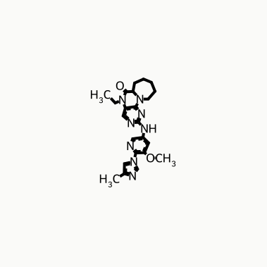 CCN1C(=O)C2CCCCCN2c2nc(Nc3cnc(-n4cnc(C)c4)c(OC)c3)ncc21